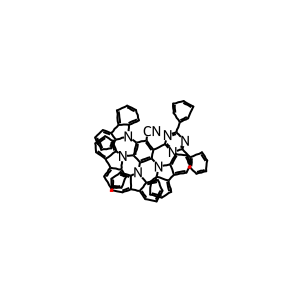 N#Cc1c(-c2nc(-c3ccccc3)nc(-c3ccccc3)n2)c(-n2c3ccccc3c3ccccc32)c(-n2c3ccccc3c3ccccc32)c(-n2c3ccccc3c3ccccc32)c1-n1c2ccccc2c2ccccc21